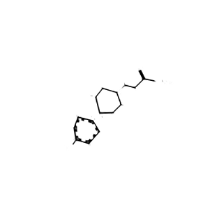 COC(=O)CC[C@H]1CC[C@H](c2ccc(O)cc2)CC1